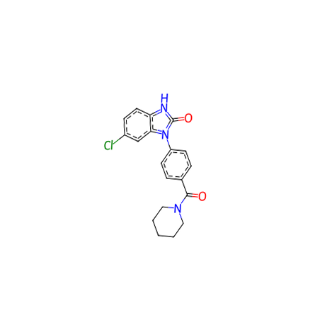 O=C(c1ccc(-n2c(=O)[nH]c3ccc(Cl)cc32)cc1)N1CCCCC1